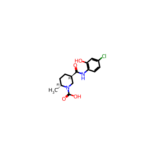 C[C@@H]1CC[C@@H](C(=O)Nc2ccc(Cl)cc2O)CN1C(=O)O